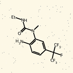 CCNC(=O)N(C)c1cc(C(F)(C(F)(F)F)C(F)(F)F)ccc1N